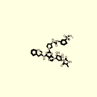 CC1NC(=O)N([C@H]2C[C@@H](n3cnc4c(N[C@H](CO)Cc5ccccc5)nc(N5CCC(NC(=O)Nc6cccc(S(N)(=O)=O)c6)C5)nc43)[C@H](O)[C@@H]2O)C1=O